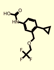 O=C(O)Nc1ccc(C2CC2)c(COCC(F)(F)F)c1